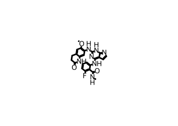 CNC(=O)c1c(F)cccc1Nc1nc(Nc2cc3c(cc2OC)CCC(=O)N3)[nH]c2nccc1-2